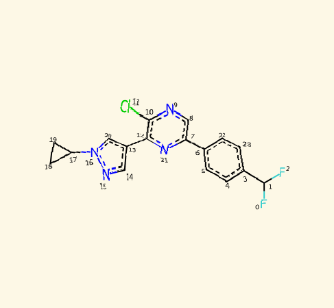 FC(F)c1ccc(-c2cnc(Cl)c(-c3cnn(C4CC4)c3)n2)cc1